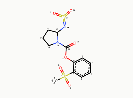 CS(=O)(=O)c1ccccc1OC(=O)N1CCCC1N=S(=O)=O